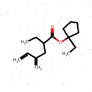 C=CC(=C)CC(CC)C(=O)OC1(CC)CCCC1